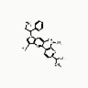 CCC(c1ccccc1)n1cc(C)c2nc(-c3ccc(C(C)C)nc3OC)c(C)cc21